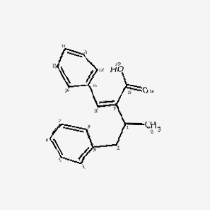 CC(Cc1ccccc1)C(=Cc1ccccc1)C(=O)O